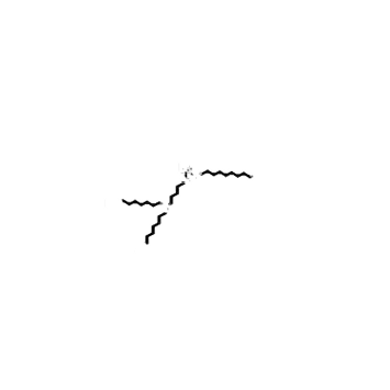 CCCCCCCCCCOP(=O)(O)OCCCCCN(CCCCCCCC)CCCCCCCC